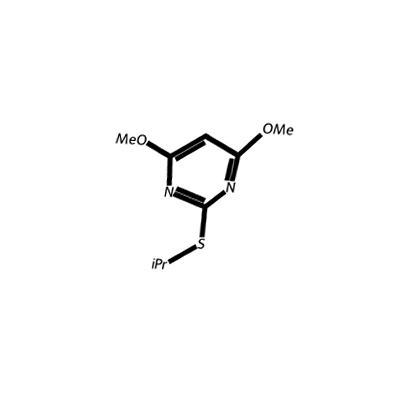 COc1cc(OC)nc(SC(C)C)n1